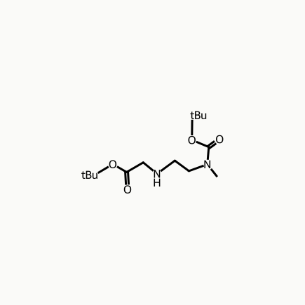 CN(CCNCC(=O)OC(C)(C)C)C(=O)OC(C)(C)C